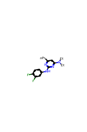 CCCc1cc(N(CC)CC)nc(Nc2ccc(F)c(F)c2)n1